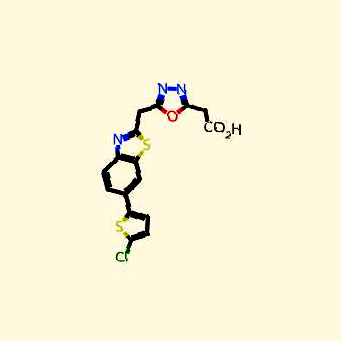 O=C(O)Cc1nnc(Cc2nc3ccc(-c4ccc(Cl)s4)cc3s2)o1